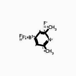 Cc1cccc(C)n1.[B+3].[F-].[F-].[F-]